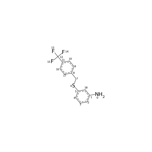 Nc1cccc(SCc2ccc(C(F)(F)F)cc2)c1